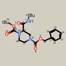 CC(C)(C)NC(=O)C1CN(C(=O)OCc2ccccc2)CCN1C(=O)OC(C)(C)C